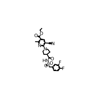 CCOC(=O)c1cc(C#N)c(N2CCC(C(=O)NS(=O)(=O)Cc3ccc(F)c(F)c3)CC2)nc1C